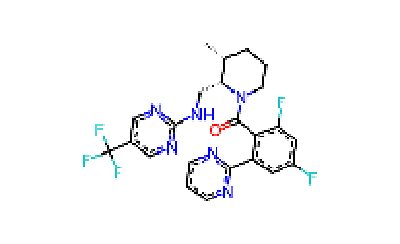 C[C@@H]1CCCN(C(=O)c2c(F)cc(F)cc2-c2ncccn2)[C@@H]1CNc1ncc(C(F)(F)F)cn1